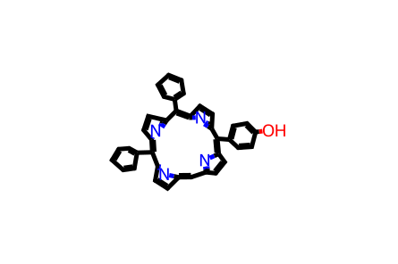 Oc1ccc(C2=C3C=CC(=N3)C=C3C=CC(=N3)C(c3ccccc3)=C3C=CC(=N3)C(c3ccccc3)=C3C=CC2=N3)cc1